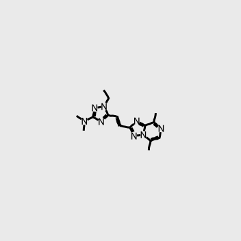 CCn1nc(N(C)C)nc1/C=C/c1nc2c(C)ncc(C)n2n1